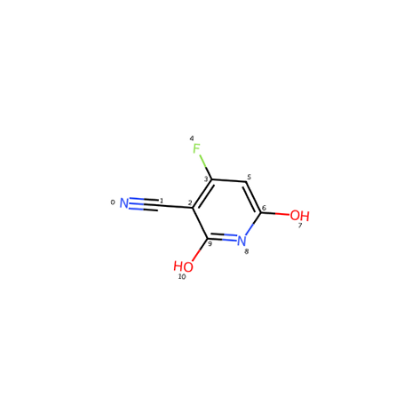 N#Cc1c(F)cc(O)nc1O